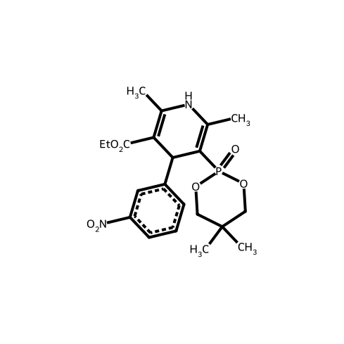 CCOC(=O)C1=C(C)NC(C)=C(P2(=O)OCC(C)(C)CO2)C1c1cccc([N+](=O)[O-])c1